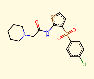 O=C(CN1CCCCC1)Nc1sccc1S(=O)(=O)c1ccc(Cl)cc1